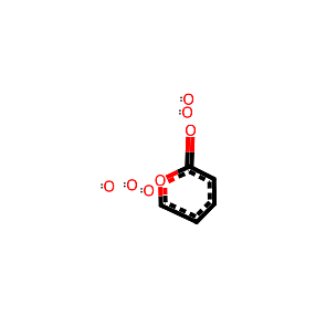 O=c1cccco1.[O].[O].[O].[O].[O]